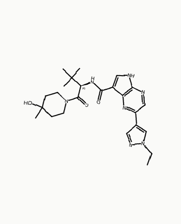 CCn1cc(-c2cnc3[nH]cc(C(=O)N[C@@H](C(=O)N4CCC(C)(O)CC4)C(C)(C)C)c3n2)cn1